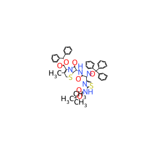 CC1=C(C(=O)OC(c2ccccc2)c2ccccc2)N2C(=O)C(NC(=O)C(=NOC(c3ccccc3)(c3ccccc3)c3ccccc3)c3csc(NC(=O)OC(C)(C)C)n3)C2SC1